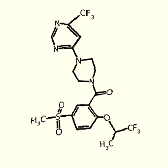 CC(Oc1ccc(S(C)(=O)=O)cc1C(=O)N1CCN(c2cc(C(F)(F)F)ncn2)CC1)C(F)(F)F